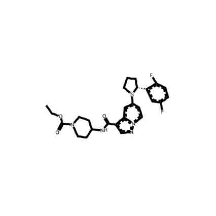 CCOC(=O)N1CCC(NC(=O)c2cnn3ccc(N4CCC[C@@H]4c4cc(F)ccc4F)cc23)CC1